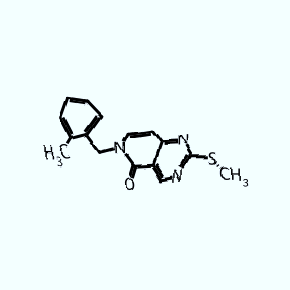 CSc1ncc2c(=O)n(Cc3ccccc3C)ccc2n1